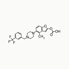 Cc1c(N2CCN(Cc3cccc(C(F)(F)F)c3)CC2)ccc2oc(OC(=O)O)cc12